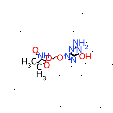 CC(C)C(NC=O)C(=O)OCCOCn1cnc2c(O)nc(N)nc21